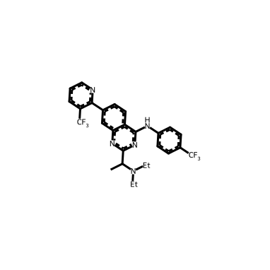 CCN(CC)C(C)c1nc(Nc2ccc(C(F)(F)F)cc2)c2ccc(-c3ncccc3C(F)(F)F)cc2n1